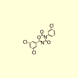 O=c1nc(-c2cc(Cl)cc(Cl)c2)oc(=O)n1-c1cccc(Cl)c1